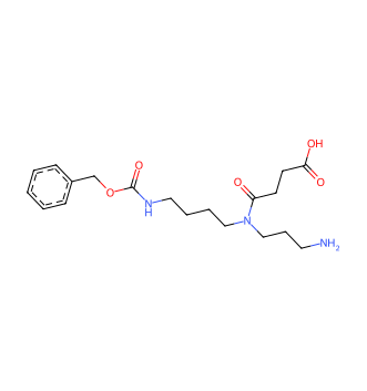 NCCCN(CCCCNC(=O)OCc1ccccc1)C(=O)CCC(=O)O